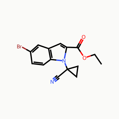 CCOC(=O)c1cc2cc(Br)ccc2n1C1(C#N)CC1